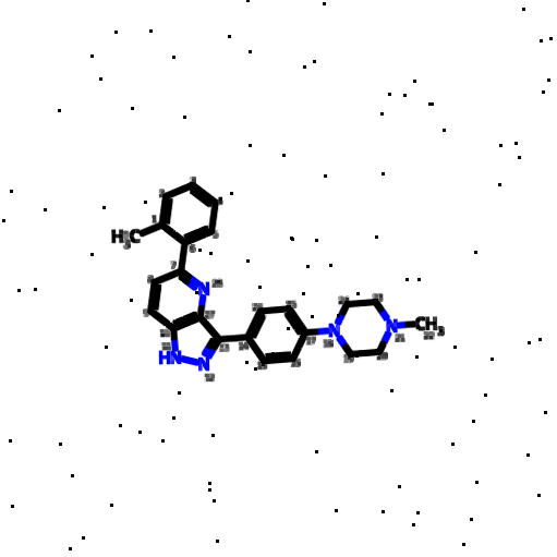 Cc1ccccc1-c1ccc2[nH]nc(-c3ccc(N4CCN(C)CC4)cc3)c2n1